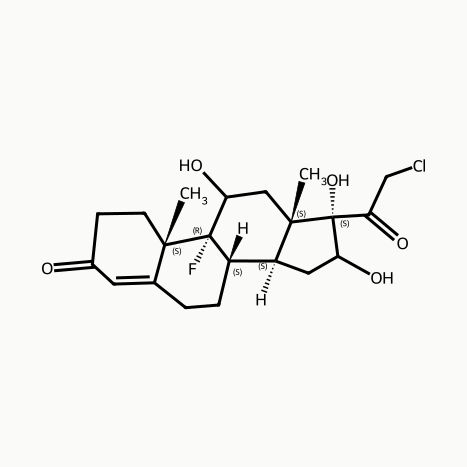 C[C@]12CCC(=O)C=C1CC[C@H]1[C@@H]3CC(O)[C@](O)(C(=O)CCl)[C@@]3(C)CC(O)[C@@]12F